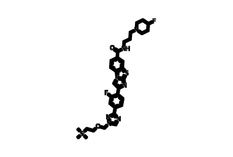 C[Si](C)(C)CCOCn1cnc(-c2ccc(-c3cn4c(n3)sc3cc(C(=O)NCCCN5CCC(F)CC5)ccc34)c(F)c2)n1